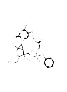 CC(C)OC(=O)[C@H](C)NP(=O)(OCC1(C)C2[C@@H](n3cc(F)c(N)nc3=O)C2(F)O[C@@H]1CO)Oc1ccccc1